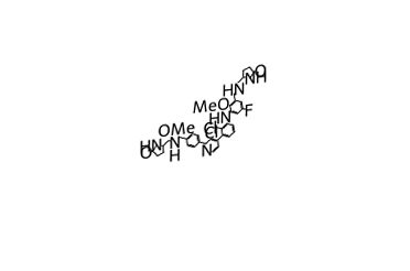 COc1cc(-c2nccc(-c3cccc(Nc4cc(F)cc(CNCC5CCC(=O)N5)c4OC)c3Cl)c2Cl)ccc1CNCC1CCC(=O)N1